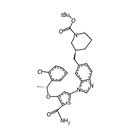 C[C@@H](Oc1cc(-n2cnc3ccc(C[C@@H]4CCCN(C(=O)OC(C)(C)C)C4)cc32)sc1C(N)=O)c1ccccc1Cl